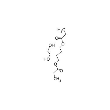 CCC(=O)OCCCCOC(=O)CC.OCCO